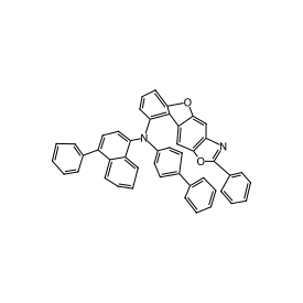 c1ccc(-c2ccc(N(c3ccc(-c4ccccc4)c4ccccc34)c3cccc4oc5cc6nc(-c7ccccc7)oc6cc5c34)cc2)cc1